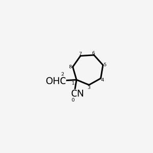 N#CC1(C=O)CCCCCC1